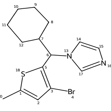 Cc1cc(Br)c(C(C2CCCCC2)n2ccnc2)s1